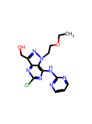 CCOCCn1nc(CO)c2nc(Cl)nc(Nc3ncccn3)c21